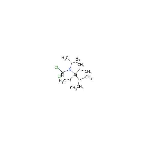 CC(C)N([SiH](Cl)Cl)[Si](C(C)C)(C(C)C)C(C)C